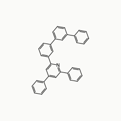 c1ccc(-c2cccc(-c3cccc(-c4cc(-c5ccccc5)cc(-c5ccccc5)n4)c3)c2)cc1